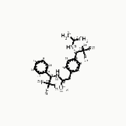 CC(C)N[C@@H](c1ccc(CC(C)N[C@H](c2ccccc2)C(F)(F)F)cc1)C(F)(F)F